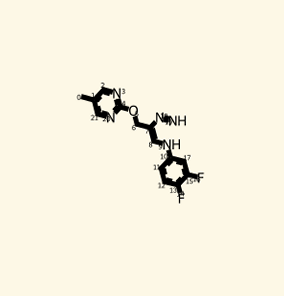 Cc1cnc(OC/C(=C/Nc2ccc(F)c(F)c2)N=N)nc1